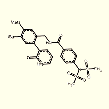 COc1cc(CNC(=O)c2ccc(N(S(C)(=O)=O)S(C)(=O)=O)cc2)c(-c2ccc[nH]c2=O)cc1C(C)(C)C